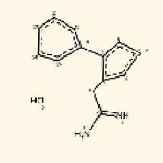 Cl.N=C(N)Cc1cscc1-c1ccccc1